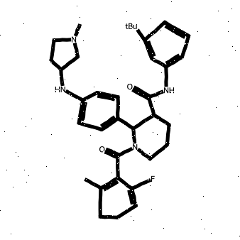 CC1=C(C(=O)N2CCCC(C(=O)Nc3cccc(C(C)(C)C)c3)C2c2ccc(NC3CCN(C)C3)cc2)C(F)=CCC1